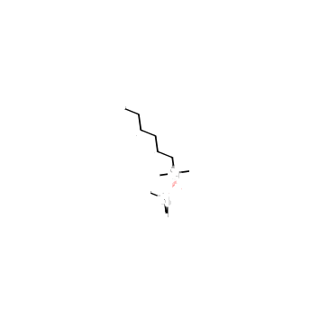 CCCCCC[Si](C)(C)O[SiH](C)C